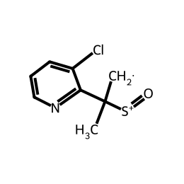 [CH2]C(C)([S+]=O)c1ncccc1Cl